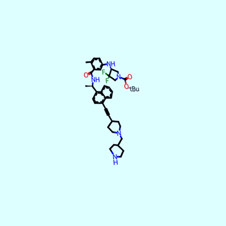 Cc1ccc(N[C@H]2CN(C(=O)OC(C)(C)C)CC2(F)F)cc1C(=O)N[C@H](C)c1ccc(C#CC2CCN(CC3CCNCC3)CC2)c2ccccc12